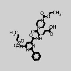 CCCS(=O)(=O)Nc1cc(C(=O)N[C@@H](CCC(=O)O)C(=O)N2CCN(C(=O)OCC)CC2)nc(-c2ccccc2)n1